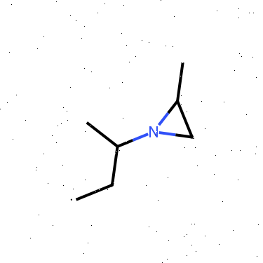 [CH2]CC(C)N1CC1C